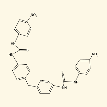 O=[N+]([O-])c1ccc(NC(=S)Nc2ccc(Cc3ccc(NC(=S)Nc4ccc([N+](=O)[O-])cc4)cc3)cc2)cc1